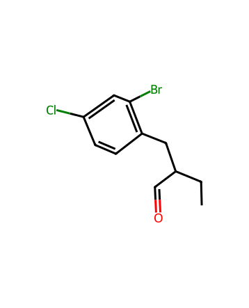 CCC(C=O)Cc1ccc(Cl)cc1Br